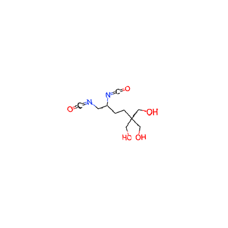 O=C=NCC(CCC(CO)(CO)CO)N=C=O